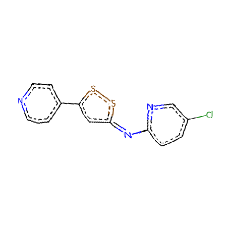 Clc1ccc(N=c2cc(-c3ccncc3)ss2)nc1